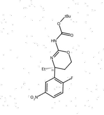 CC[C@@]1(c2cc([N+](=O)[O-])ccc2F)CCOC(NC(=O)OC(C)(C)C)=N1